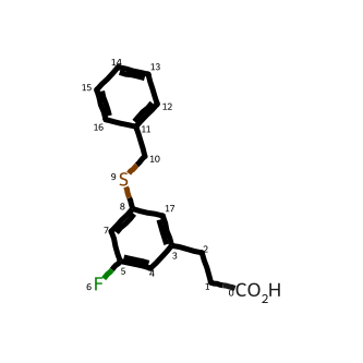 O=C(O)CCc1cc(F)cc(SCc2ccccc2)c1